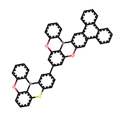 c1ccc2c(c1)Oc1cc(-c3ccc4c(c3)B3c5ccccc5Oc5cccc(c53)S4)cc3c1B2c1cc2c4ccccc4c4ccccc4c2cc1O3